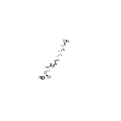 CCCCCCC/C=C/C=C\C=C/C=C/C(=O)O